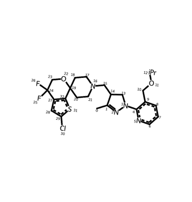 CC1=NN(c2ncccc2COC(C)C)CC1CN1CCC2(CC1)OCC(F)(F)c1cc(Cl)sc12